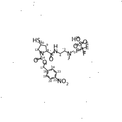 CN(C)CCNC(=O)C1C[C@H](S)CN1C(=O)OCc1ccc([N+](=O)[O-])cc1.O=S(=O)(O)C(F)(F)F